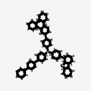 c1ccc(-c2ccc(-c3ccc(N(c4ccc(-c5ccc6c7ccccc7c7ccccc7c6c5)cc4)c4ccc(-c5cccc6c5oc5ccccc56)cc4)cc3)cc2)cc1